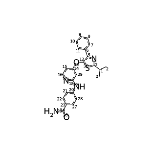 CC(C)c1nc(-c2ccccc2)c(Oc2ccnc(Nc3ccc(C(N)=O)cc3)c2)s1